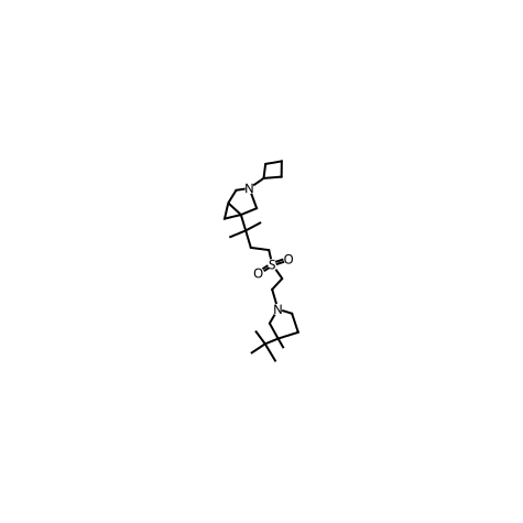 CC(C)(C)C1(C)CCN(CCS(=O)(=O)CCC(C)(C)C23CC2CN(C2CCC2)C3)C1